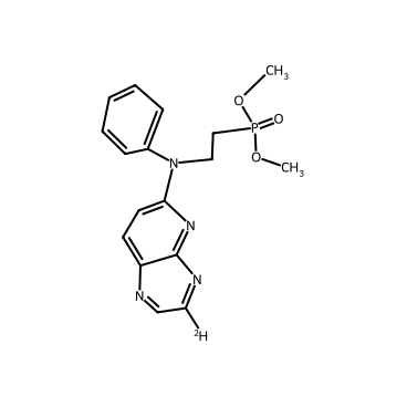 [2H]c1cnc2ccc(N(CCP(=O)(OC)OC)c3ccccc3)nc2n1